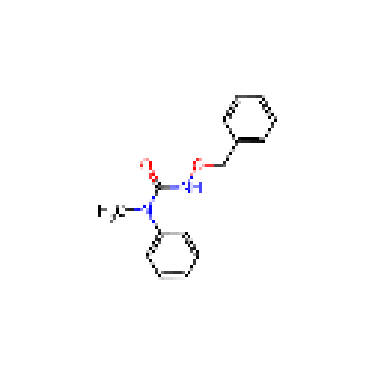 CN(C(=O)NOCc1ccccc1)c1ccccc1